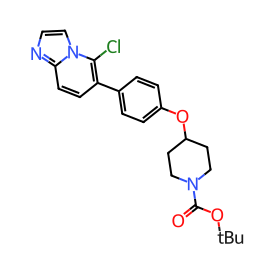 CC(C)(C)OC(=O)N1CCC(Oc2ccc(-c3ccc4nccn4c3Cl)cc2)CC1